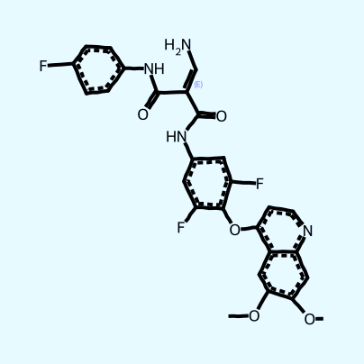 COc1cc2nccc(Oc3c(F)cc(NC(=O)/C(=C/N)C(=O)Nc4ccc(F)cc4)cc3F)c2cc1OC